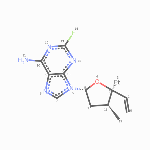 C=C[C@]1(CC)O[C@@H](n2cnc3c(N)nc(F)nc32)C[C@@H]1C